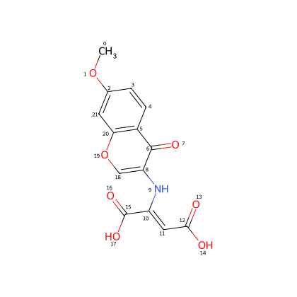 COc1ccc2c(=O)c(N/C(=C\C(=O)O)C(=O)O)coc2c1